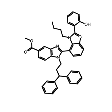 CCCCn1c(-c2ccccc2O)nc2cccc(-c3nc4cc(C(=O)OC)ccc4n3CCC(c3ccccc3)c3ccccc3)c21